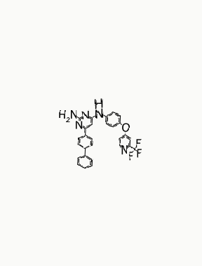 Nc1nc(Nc2ccc(Oc3ccnc(C(F)(F)F)c3)cc2)cc(-c2ccc(-c3ccccc3)cc2)n1